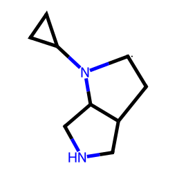 [CH]1CC2CNCC2N1C1CC1